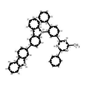 Cc1nc(-c2ccccc2)nc(-c2ccc(-c3ccccc3)c(-n3c4ccccc4c4cc(-c5ccc6c(c5)oc5ccccc56)ccc43)c2)n1